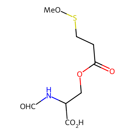 COSCCC(=O)OCC(NC=O)C(=O)O